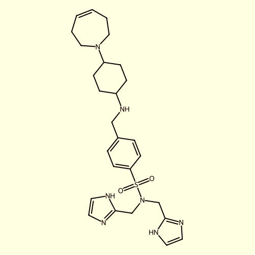 O=S(=O)(c1ccc(CNC2CCC(N3CCC=CCC3)CC2)cc1)N(Cc1ncc[nH]1)Cc1ncc[nH]1